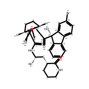 N#C[C@@H](C[C@H]1CCCNC1=O)NC(=O)[C@@H]1[C@@H]2CC[C@@H](CC2(F)F)N1C(=O)[C@]1(O)c2ccccc2-c2ccc(Br)cc21